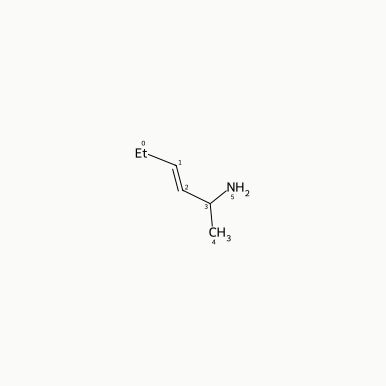 CCC=CC(C)N